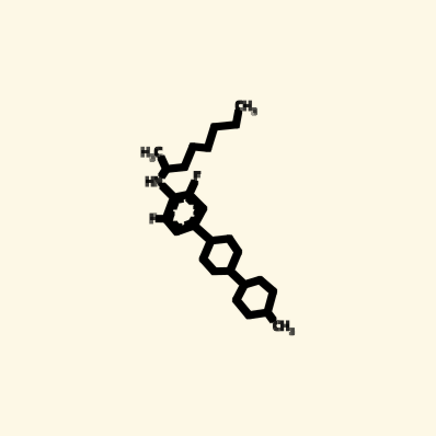 CCCCCCC(C)Nc1c(F)cc(C2CCC(C3CCC(C)CC3)CC2)cc1F